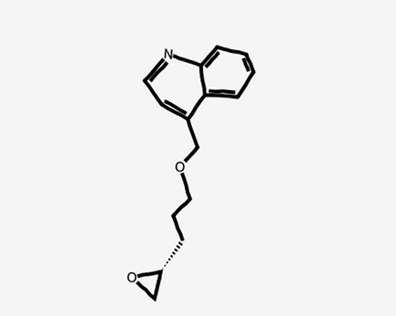 c1ccc2c(COCCC[C@@H]3CO3)ccnc2c1